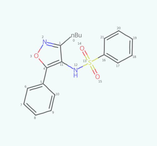 CCCCc1noc(-c2ccccc2)c1NS(=O)(=O)c1ccccc1